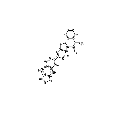 CC(C(=O)N1CCc2cc(-c3ccnc(Nc4ccnn4C)n3)ccc21)c1ccccc1